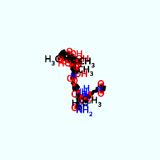 COc1cccc2c1C(=O)c1c(O)c3c(c(O)c1C2=O)C[C@@](O)(C(C)=O)C[C@@H]3O[C@H]1CC(/C=N/C(=O)OCc2ccc(NC(=O)[C@H](CCCNC(N)=O)NC(=O)[C@@H](NC(=O)CCCCCN3C(=O)C=CC3=O)C(C)C)cc2)[C@H](O)[C@H](C)O1